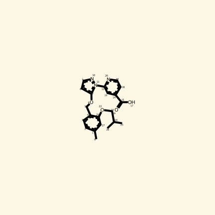 Cc1ccc(COc2ccnn2-c2cc(C(=O)O)ccn2)c(OCC(C)C)c1